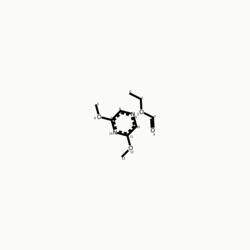 CCOC=O.COc1cncc(OC)n1